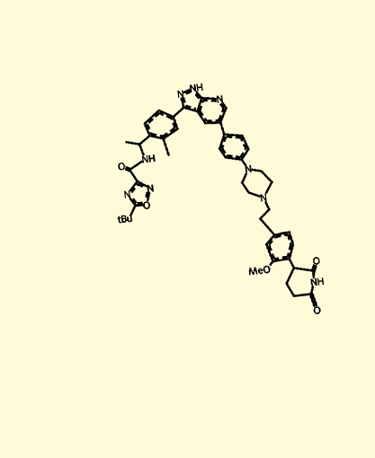 COc1cc(CCN2CCN(c3ccc(-c4cnc5[nH]nc(-c6ccc(C(C)NC(=O)c7noc(C(C)(C)C)n7)c(C)c6)c5c4)cc3)CC2)ccc1C1CCC(=O)NC1=O